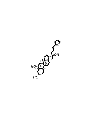 CC(O)(CCCc1cccs1)[C@H]1CC[C@H]2[C@@H]3C[C@H](O)[C@H]4C[C@@H](O)CC[C@]4(C)[C@H]3CC[C@]12C